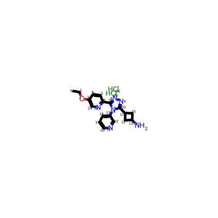 CCOc1ccc(-c2nnc(C3CC(N)C3)n2-c2cccnc2)nc1.Cl.Cl